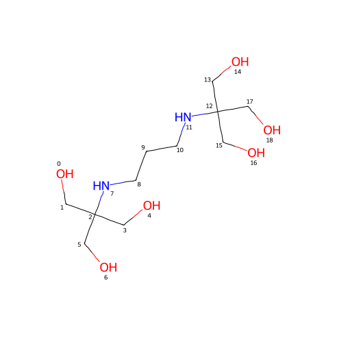 OCC(CO)(CO)NCCCNC(CO)(CO)CO